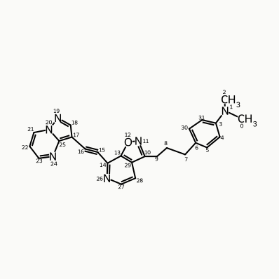 CN(C)c1ccc(CCCc2noc3c(C#Cc4cnn5cccnc45)nccc23)cc1